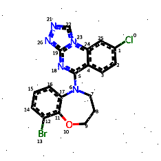 Clc1ccc2c(N3CCCOc4c(Br)cccc43)nc3nncn3c2c1